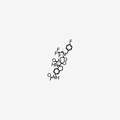 CC(=O)Nc1ccc2c(c1)CC[C@]21NC(=O)N(CC(=O)N(Cc2ccc(F)cc2)[C@@H](C)C(F)(F)F)C1=O